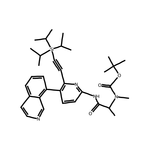 CC(C(=O)Nc1ccc(-c2cccc3ccncc23)c(C#C[Si](C(C)C)(C(C)C)C(C)C)n1)N(C)C(=O)OC(C)(C)C